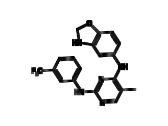 Cc1cnc(Nc2cccc(C(F)(F)F)c2)nc1Nc1ccc2c(c1)NCO2